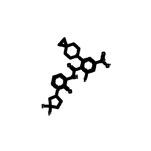 O=C(Nc1cccn(C2CCC(F)(F)C2)c1=O)c1c(F)cc([N+](=O)[O-])cc1N1CCC2(CC1)CC2